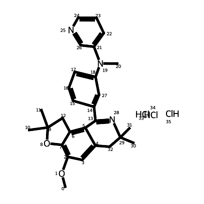 COc1cc2c(c3c1OC(C)(C)C3)C(c1cccc(N(C)c3cccnc3)c1)=NC(C)(C)C2.Cl.Cl.Cl